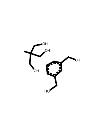 CC(CO)(CO)CO.OCc1cccc(CO)c1